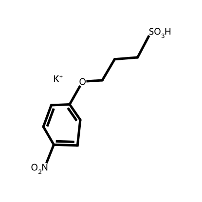 O=[N+]([O-])c1ccc(OCCCS(=O)(=O)O)cc1.[K+]